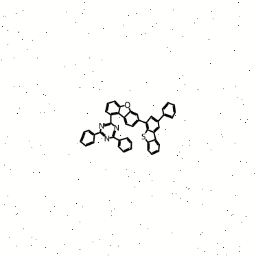 c1ccc(-c2cc(-c3ccc4c(c3)oc3cccc(-c5nc(-c6ccccc6)nc(-c6ccccc6)n5)c34)c3sc4ccccc4c3c2)cc1